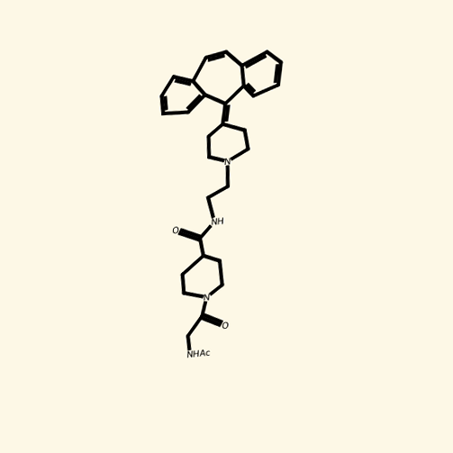 CC(=O)NCC(=O)N1CCC(C(=O)NCCN2CCC(=C3c4ccccc4C=Cc4ccccc43)CC2)CC1